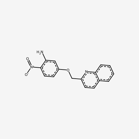 Nc1cc(OCc2ccc3ccccc3n2)ccc1[N+](=O)[O-]